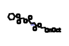 CCCCCCCCOCCOC(=O)/C=C/C(=O)OCC(=O)OC1CCCCC1